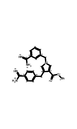 CC(C)OC(=O)c1cn(Cc2cccc(C(=N)N)c2)cc1Cc1ccc(C(=N)N)cc1